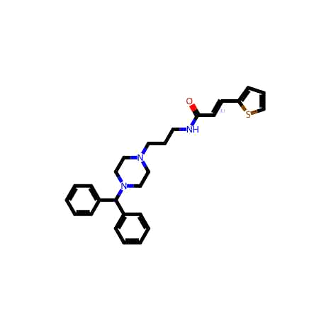 O=C(/C=C/c1cccs1)NCCCN1CCN(C(c2ccccc2)c2ccccc2)CC1